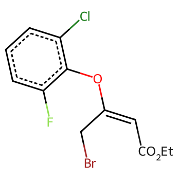 CCOC(=O)C=C(CBr)Oc1c(F)cccc1Cl